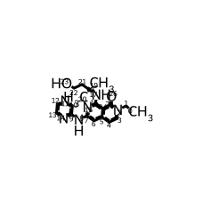 CCn1ccc2cc(Nc3cnccn3)nc(NC(C)(C)CCO)c2c1=O